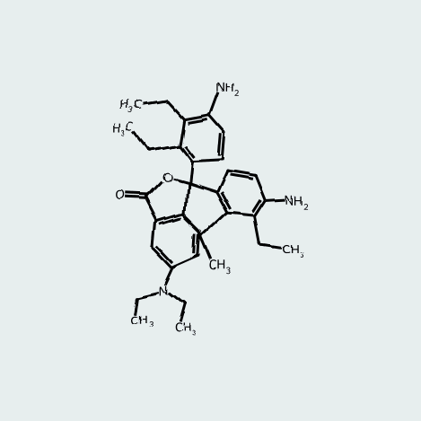 CCc1c(N)ccc(C2(c3ccc(N)c(CC)c3CC)OC(=O)c3cc(N(CC)CC)ccc32)c1CC